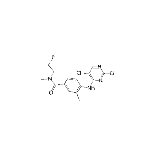 Cc1cc(C(=O)N(C)CCF)ccc1Nc1nc(Cl)ncc1Cl